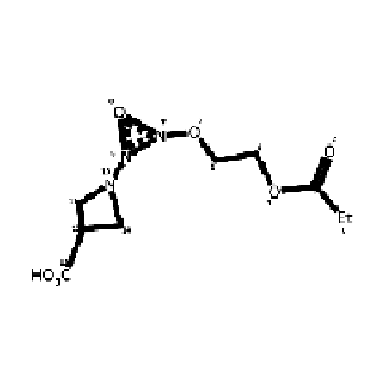 CCC(=O)OCCOn1on1N1CC(C(=O)O)C1